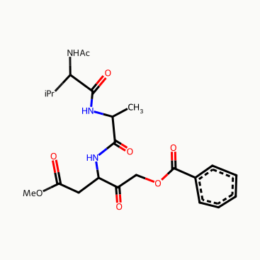 COC(=O)CC(NC(=O)C(C)NC(=O)C(NC(C)=O)C(C)C)C(=O)COC(=O)c1ccccc1